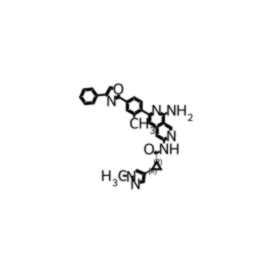 Cc1cc(-c2nc(-c3ccccc3)co2)ccc1-c1cc2cc(NC(=O)[C@@H]3C[C@H]3c3cnn(C)c3)ncc2c(N)n1